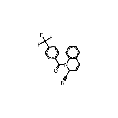 N#CC1C=Cc2ccccc2N1C(=O)c1ccc(C(F)(F)F)cc1